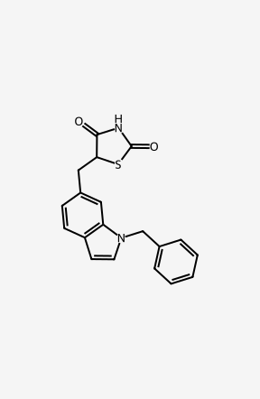 O=C1NC(=O)C(Cc2ccc3ccn(Cc4ccccc4)c3c2)S1